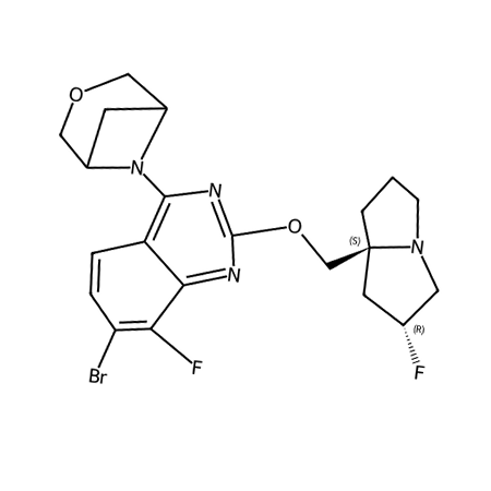 Fc1c(Br)ccc2c(N3C4COCC3C4)nc(OC[C@@]34CCCN3C[C@H](F)C4)nc12